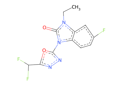 CCn1c(=O)n(-c2nnc(C(F)F)o2)c2ccc(F)cc21